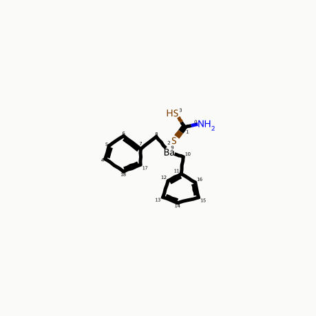 NC(=S)S.c1ccc([CH2][Ba][CH2]c2ccccc2)cc1